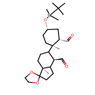 CC(C)(C)[Si](C)(C)O[C@H]1CC[C@](C)(C2CC[C@@]3(C)C(CCC34OCCO4)[C@@H]2C=O)[C@@H](C=O)C1